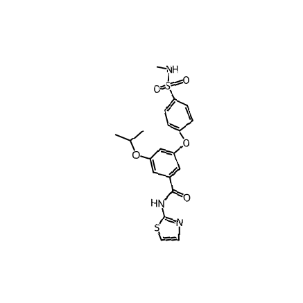 CNS(=O)(=O)c1ccc(Oc2cc(OC(C)C)cc(C(=O)Nc3nccs3)c2)cc1